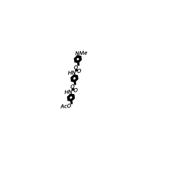 CNc1ccc(COC(=O)Nc2ccc(COC(=O)Nc3ccc(COC(C)=O)cc3)cc2)cc1